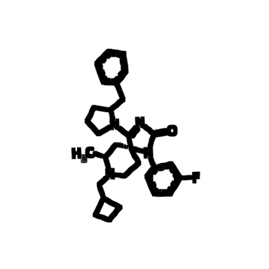 C[C@H]1C[C@]2(CCN1CC1CCC1)C(N1CCCC1Cc1ccccc1)=NC(=O)N2c1cccc(F)c1